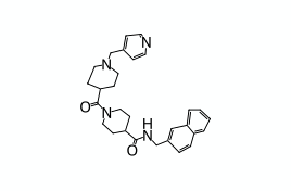 O=C(NCc1ccc2ccccc2c1)C1CCN(C(=O)C2CCN(Cc3ccncc3)CC2)CC1